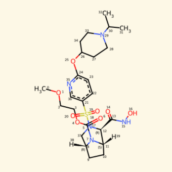 COCCOC(=O)N1[C@@H]2CC[C@H]1[C@H](C(=O)NO)N(S(=O)(=O)c1ccc(OC3CCN(C(C)C)CC3)nc1)C2